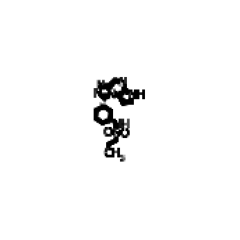 CCCS(=O)(=O)N[C@@H]1CCC[C@H](c2nnc3cnc4[nH]ccc4n23)C1